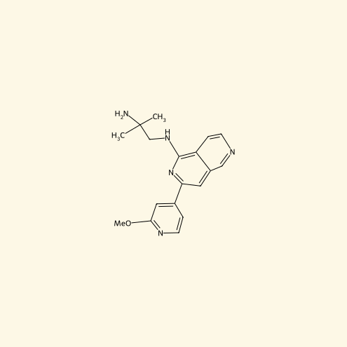 COc1cc(-c2cc3cnccc3c(NCC(C)(C)N)n2)ccn1